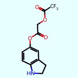 O=C(COC(=O)C(F)(F)F)Oc1ccc2c(c1)CCN2